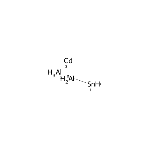 [AlH2][SnH].[AlH3].[Cd]